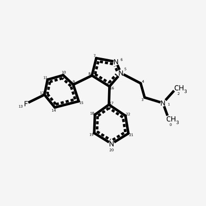 CN(C)CCn1ncc(-c2ccc(F)cc2)c1-c1ccncc1